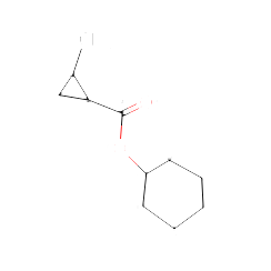 CC1CC1C(=O)OC1CCCCC1